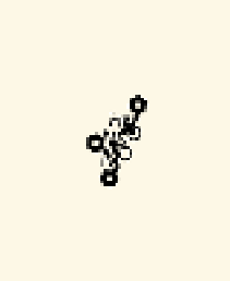 O=C(CSC1=Nc2ccccc2C2=NC(Cc3ccccc3)C(=O)N12)NCc1ccccc1